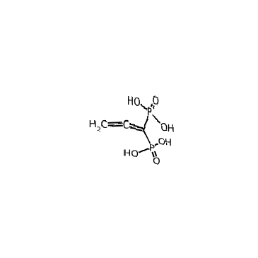 C=C=C(P(=O)(O)O)P(=O)(O)O